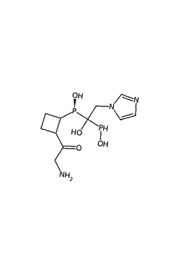 NCC(=O)C1CCC1[P@@](O)C(O)(Cn1ccnc1)PO